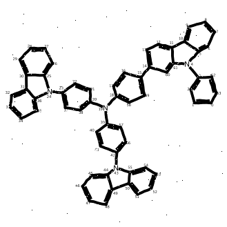 c1ccc(-n2c3ccccc3c3ccc(-c4ccc(N(c5ccc(-n6c7ccccc7c7ccccc76)cc5)c5ccc(-n6c7ccccc7c7ccccc76)cc5)cc4)cc32)cc1